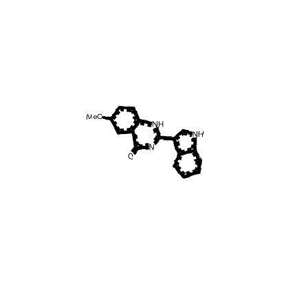 COc1ccc2[nH]c(-c3c[nH]c4ccccc34)nc(=O)c2c1